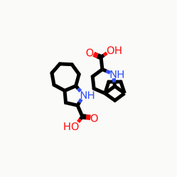 O=C(O)C1CC2CCCCCC2N1.O=C(O)C1CCC23CCC(C2)C3N1